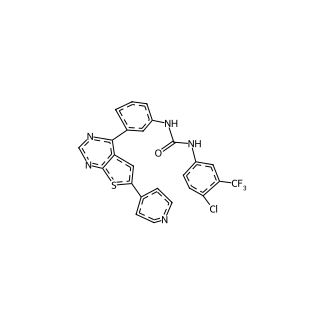 O=C(Nc1cccc(-c2ncnc3sc(-c4ccncc4)cc23)c1)Nc1ccc(Cl)c(C(F)(F)F)c1